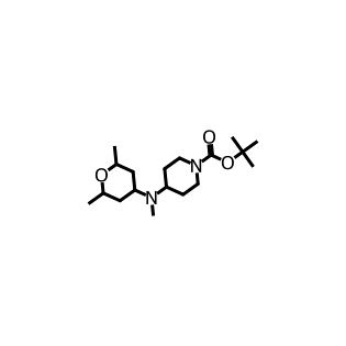 CC1CC(N(C)C2CCN(C(=O)OC(C)(C)C)CC2)CC(C)O1